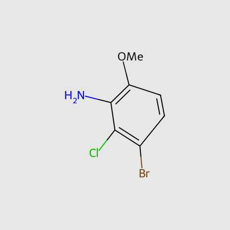 COc1ccc(Br)c(Cl)c1N